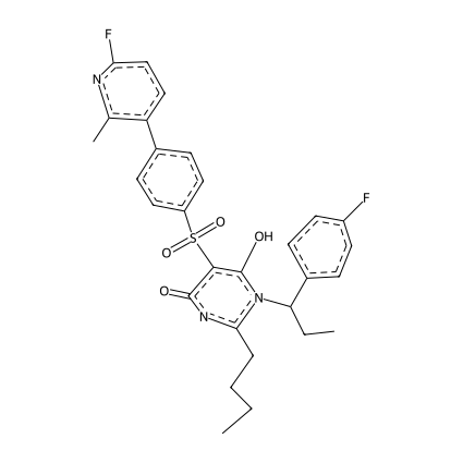 CCCCc1nc(=O)c(S(=O)(=O)c2ccc(-c3ccc(F)nc3C)cc2)c(O)n1C(CC)c1ccc(F)cc1